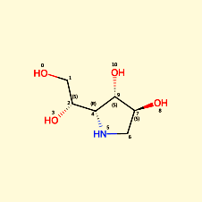 OC[C@@H](O)[C@H]1NC[C@H](O)[C@H]1O